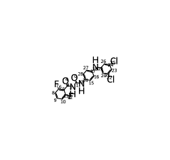 O=C(NC(=O)c1c(F)cccc1F)Nc1ccc(Nc2cc(Cl)cc(Cl)c2)cc1